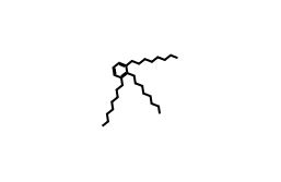 CCCCCCCCc1cccc(CCCCCCCC)c1CCCCCCCC